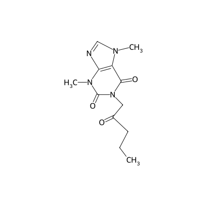 CCCC(=O)Cn1c(=O)c2c(ncn2C)n(C)c1=O